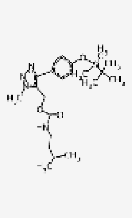 CC(C)CCNC(=O)OCc1c(-c2ccc(O[Si](C)(C)C(C)(C)C)cc2)nnn1C